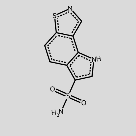 NS(=O)(=O)c1c[nH]c2c1ccc1sncc12